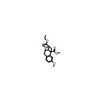 CCOC(=O)CC1C2Cc3ccc(OC)cc3C1(C(=O)OC)CCN2C